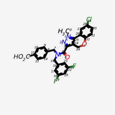 Cn1nc(C(=O)N(Cc2ccc(C(=O)O)cc2)Cc2cc(F)cc(F)c2)c2c1-c1cc(Cl)ccc1OC2